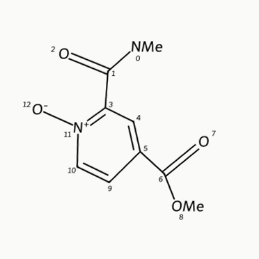 CNC(=O)c1cc(C(=O)OC)cc[n+]1[O-]